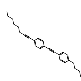 CCCCCCC#Cc1ccc(C#Cc2ccc(CCCCC)cc2)cc1